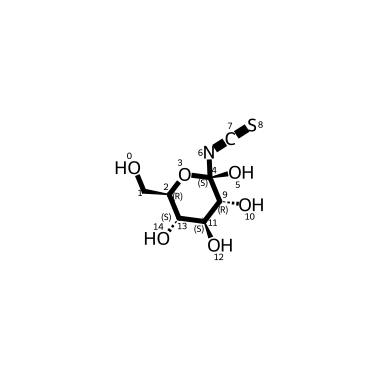 OC[C@H]1O[C@](O)(N=C=S)[C@H](O)[C@@H](O)[C@@H]1O